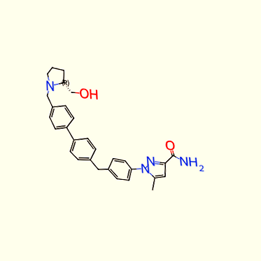 Cc1cc(C(N)=O)nn1-c1ccc(Cc2ccc(-c3ccc(CN4CCC[C@@H]4CO)cc3)cc2)cc1